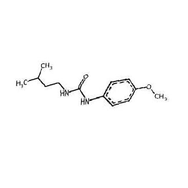 COc1ccc(NC(=O)NCCC(C)C)cc1